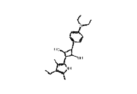 CCc1c(C)[nH]c(C2C(O)C(c3ccc(N(CC)CC)cc3)C2O)c1C